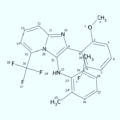 COc1cccc(F)c1-c1nc2cccc(C(F)(F)F)n2c1Nc1c(C)cccc1C